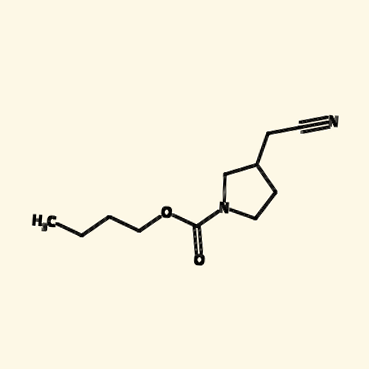 CCCCOC(=O)N1CCC(CC#N)C1